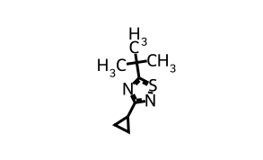 CC(C)(C)c1nc(C2CC2)ns1